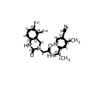 Cc1cc([C@@H](C)NC(=O)CN2Cc3c(ccc(F)c3F)NC2=O)ncc1C#N